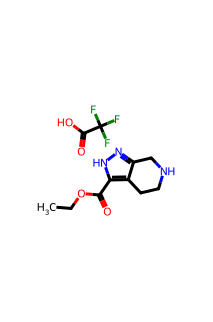 CCOC(=O)c1[nH]nc2c1CCNC2.O=C(O)C(F)(F)F